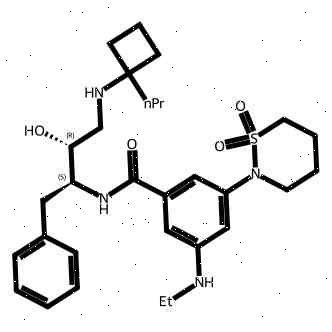 CCCC1(NC[C@@H](O)[C@H](Cc2ccccc2)NC(=O)c2cc(NCC)cc(N3CCCCS3(=O)=O)c2)CCC1